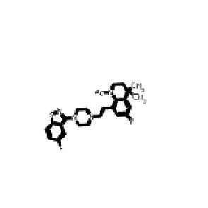 CC(=O)N1CCC(C)(C)c2cc(F)cc(CCN3CCN(c4nsc5ccc(F)cc45)CC3)c21